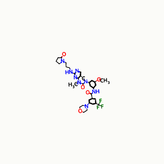 COc1cc(NC(=O)c2cc(N3CCOCC3)cc(C(F)(F)F)c2)cc(N2Cc3cnc(NCCCN4CCCC4=O)nc3N(C)C2=O)c1